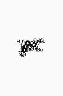 CCCCO[C@H]1[C@H](OCCCC)[C@@H](C=O)OC(OC)(c2ccc(C)c(Cc3ccc4c(c3)OCCO4)c2)[C@@H]1OCCCC